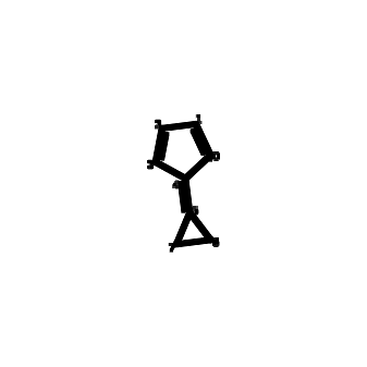 [C]1=CC=CC1=C1CC1